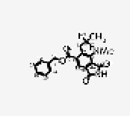 CNc1c(CC(C)(F)F)c(C(=O)OCc2ccccc2)cc2c1C(=O)NC2=O